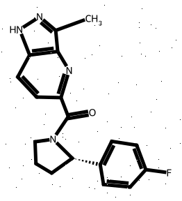 Cc1n[nH]c2ccc(C(=O)N3CCC[C@H]3c3ccc(F)cc3)nc12